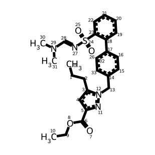 CCCc1cc(C(=O)OCC)nn1Cc1ccc(-c2ccccc2S(=O)(=O)/N=C/N(C)C)cc1